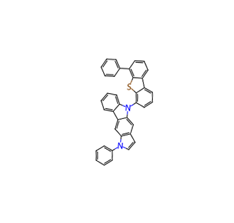 c1ccc(-c2cccc3c2sc2c(-n4c5ccccc5c5cc6c(ccn6-c6ccccc6)cc54)cccc23)cc1